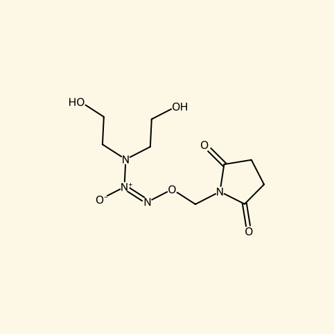 O=C1CCC(=O)N1CO/N=[N+](/[O-])N(CCO)CCO